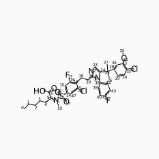 CCCCC[C@@H](C(=O)O)N(C)S(=O)(=O)c1cc(F)c(CCc2ncc(C(C)(C)c3ccc(Cl)c(OC)c3)n2-c2ccc(F)cc2)c(Cl)c1